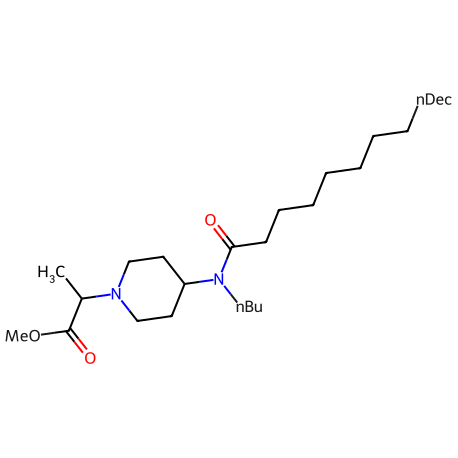 CCCCCCCCCCCCCCCCCC(=O)N(CCCC)C1CCN(C(C)C(=O)OC)CC1